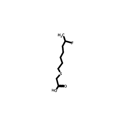 CC(F)CCCCCSCC(=O)O